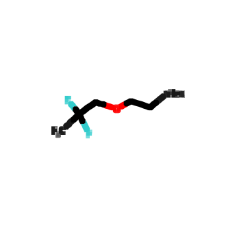 [CH2]CCCCCCCOCC(F)(F)C(F)(F)F